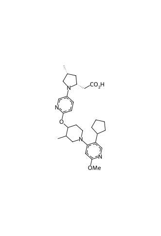 COc1cc(N2CCC(Oc3ccc(N4C[C@H](C)C[C@@H]4CC(=O)O)cn3)C(C)C2)c(C2CCCC2)cn1